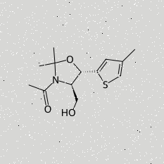 CC(=O)N1[C@H](CO)[C@@H](c2cc(C)cs2)OC1(C)C